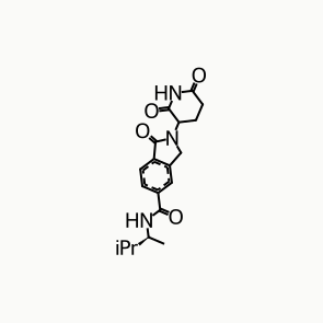 CC(C)[C@H](C)NC(=O)c1ccc2c(c1)CN(C1CCC(=O)NC1=O)C2=O